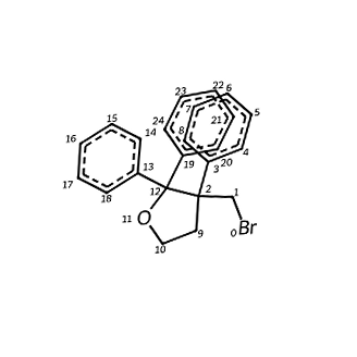 BrCC1(c2ccccc2)CCOC1(c1ccccc1)c1ccccc1